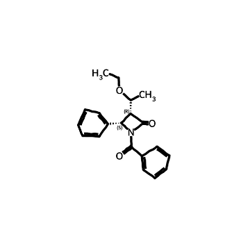 CCOC(C)[C@@H]1C(=O)N(C(=O)c2ccccc2)[C@@H]1c1ccccc1